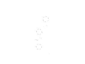 COc1ccc(NS(=O)(=O)c2cccc(NC(=O)c3cccc(OC)c3)c2)cc1